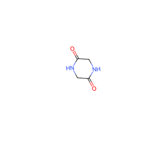 O=C1CNC(=O)CN1